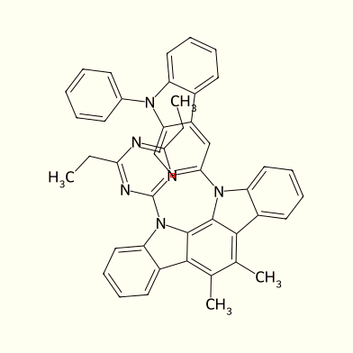 CCc1nc(CC)nc(-n2c3ccccc3c3c(C)c(C)c4c5ccccc5n(-c5ccc6c(c5)c5ccccc5n6-c5ccccc5)c4c32)n1